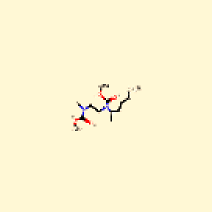 CCOC(=O)CCC[C@@H](C)N(CCN(C)C(=O)OC(C)(C)C)C(=O)OC(C)(C)C